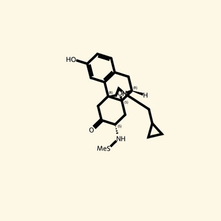 CSN[C@H]1C[C@@]2(O)[C@H]3Cc4ccc(O)cc4[C@@]2(CCN3CC2CC2)CC1=O